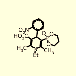 CCN1C(C)=C(C(=O)O)C(c2ccccc2[N+](=O)[O-])C(P2(=O)OCCCO2)=C1C